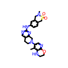 Cc1c(N2CCc3cnc(Nc4ccc5c(c4)CN(C)S(=O)(=O)C5)nc3C2)cnc2c1NCCO2